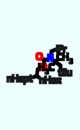 CCCCCCCC(CCCCCC)COC(=O)N(CC(C)C)C(C)(C)CC(C)(C)C